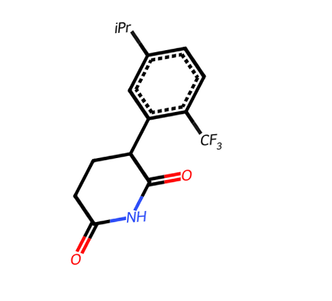 CC(C)c1ccc(C(F)(F)F)c(C2CCC(=O)NC2=O)c1